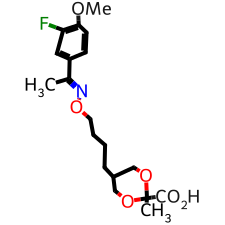 COc1ccc(C(C)=NOCCCCC2COC(C)(C(=O)O)OC2)cc1F